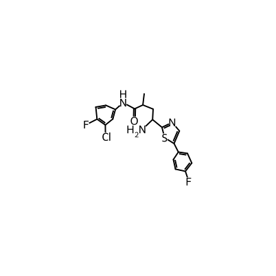 CC(CC(N)c1ncc(-c2ccc(F)cc2)s1)C(=O)Nc1ccc(F)c(Cl)c1